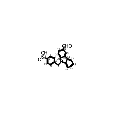 C[S+]([O-])c1ccc(Cn2c3ccccc3c3cc(C=O)ccc32)cc1